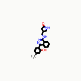 O=C1CC(CNc2nnc(-c3ccc(C(F)(F)F)cc3O)c3ccccc23)CN1